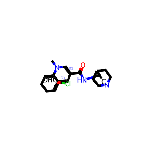 CN(/C=C(\C=C/C=O)C(=O)NC1CN2CCC1CC2)C1=CCCC=C1Cl